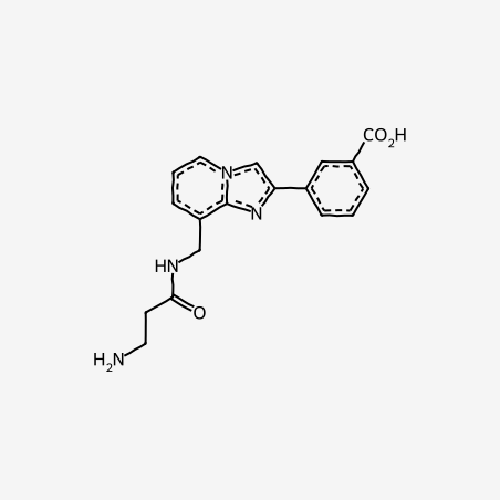 NCCC(=O)NCc1cccn2cc(-c3cccc(C(=O)O)c3)nc12